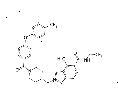 Cc1c(C(=O)NCC(F)(F)F)ccc2nn(CC3CCN(C(=O)c4ccc(Oc5ccc(C(F)(F)F)nc5)cc4)CC3)cc12